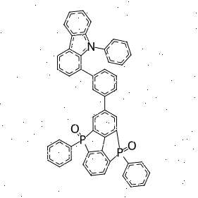 O=P1(c2ccccc2)c2cccc3c2-c2c1cc(-c1cccc(-c4cccc5c6ccccc6n(-c6ccccc6)c45)c1)cc2P3(=O)c1ccccc1